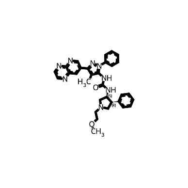 COCCN1C[C@@H](NC(=O)Nc2c(C)c(-c3cnc4nccnc4c3)nn2-c2ccccc2)[C@H](c2ccccc2)C1